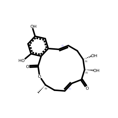 C[C@H]1C/C=C/C(=O)[C@@H](O)[C@@H](O)C/C=C/c2cc(O)cc(O)c2C(=O)O1